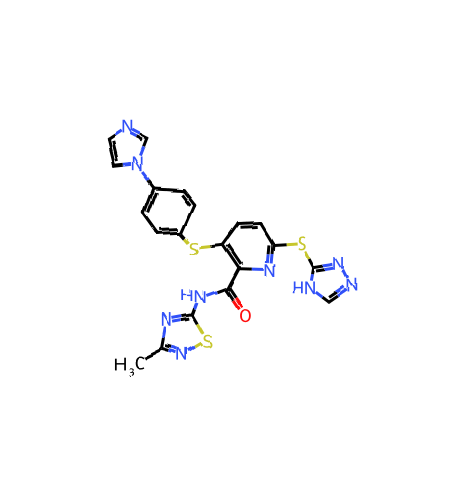 Cc1nsc(NC(=O)c2nc(Sc3nnc[nH]3)ccc2Sc2ccc(-n3ccnc3)cc2)n1